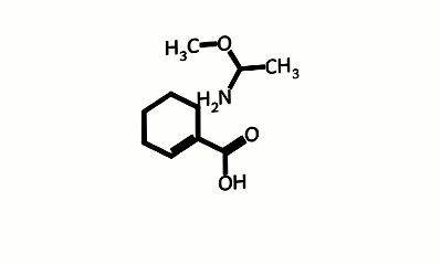 COC(C)N.O=C(O)C1=CCCCC1